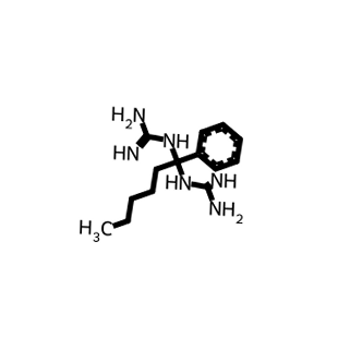 CCCCCC(NC(=N)N)(NC(=N)N)c1ccccc1